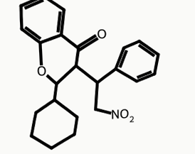 O=C1c2ccccc2OC(C2CCCCC2)C1C(C[N+](=O)[O-])c1ccccc1